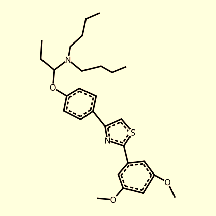 CCCCN(CCCC)C(CC)Oc1ccc(-c2csc(-c3cc(OC)cc(OC)c3)n2)cc1